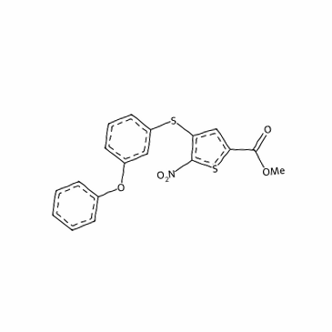 COC(=O)c1cc(Sc2cccc(Oc3ccccc3)c2)c([N+](=O)[O-])s1